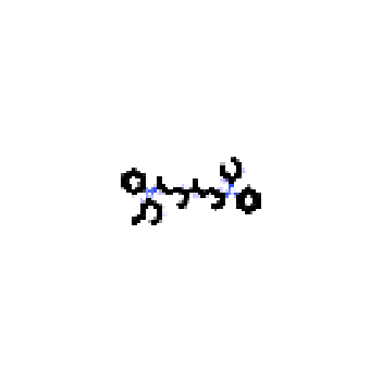 C=C/C=C(\C=C/C)N(/C(C)=C/C=C(C=C)/C(C)=C/C=C(\C=C)N(C(/C=C\C)=C/C)c1ccccc1)c1ccccc1